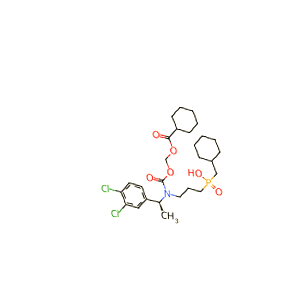 C[C@@H](c1ccc(Cl)c(Cl)c1)N(CCCP(=O)(O)CC1CCCCC1)C(=O)OCOC(=O)C1CCCCC1